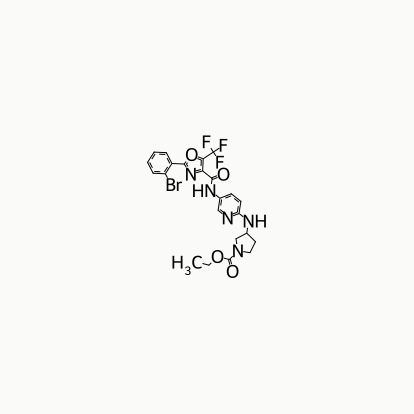 CCOC(=O)N1CCC(Nc2ccc(NC(=O)c3nc(-c4ccccc4Br)oc3C(F)(F)F)cn2)C1